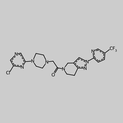 O=C(CN1CCN(c2cncc(Cl)n2)CC1)N1CCc2nn(-c3ccc(C(F)(F)F)cn3)cc2C1